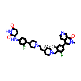 COc1cc(-c2cn(C)c(=O)c3cnccc23)cc(F)c1CN1CCC(CCN2CCC(c3ccc(NC4CCC(=O)NC4=O)cc3F)CC2)CC1